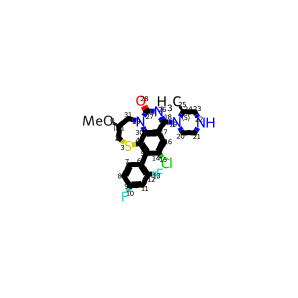 CO[C@@H]1CSc2c(-c3ccc(F)cc3F)c(Cl)cc3c(N4CCNC[C@@H]4C)nc(=O)n(c23)C1